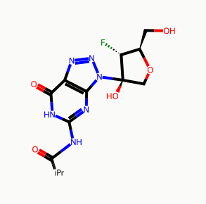 CC(C)C(=O)Nc1nc2c(nnn2[C@@]2(O)CO[C@H](CO)[C@H]2F)c(=O)[nH]1